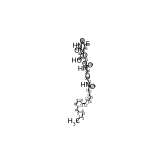 CC/C=C\C/C=C\C/C=C\C/C=C\C/C=C\CCCC(=O)NCCOCCNC(=O)OC[C@H]1OC(n2cc(F)c(=O)[nH]c2=O)C[C@@H]1O